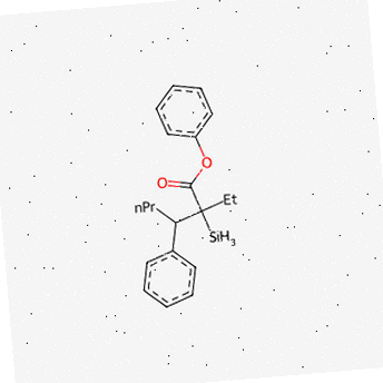 CCCC(c1ccccc1)C([SiH3])(CC)C(=O)Oc1ccccc1